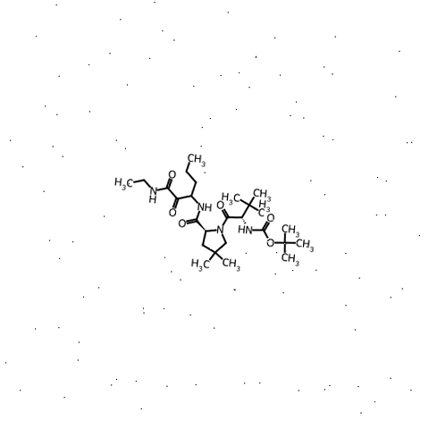 CCCC(NC(=O)[C@@H]1CC(C)(C)CN1C(=O)[C@@H](NC(=O)OC(C)(C)C)C(C)(C)C)C(=O)C(=O)NCC